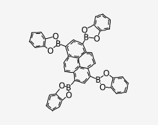 c1ccc2c(c1)OB(c1cc(B3Oc4ccccc4O3)c3ccc4c(B5Oc6ccccc6O5)cc(B5Oc6ccccc6O5)c5ccc1c3c54)O2